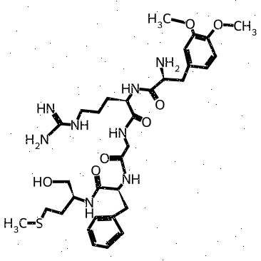 COc1ccc(C[C@H](N)C(=O)N[C@H](CCCNC(=N)N)C(=O)NCC(=O)N[C@@H](Cc2ccccc2)C(=O)N[C@H](CO)CCSC)cc1OC